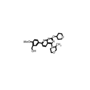 COc1ccc(-c2ccc3c(N4CCOCC4C)nc(OC4CCOCC4)nc3n2)cc1CO